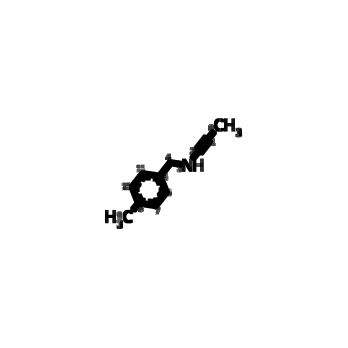 CC#CNCc1ccc(C)cc1